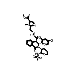 COC(=O)c1cnc(CONC(=O)[C@@H]2c3ccccc3C(=O)N([C@H]3CCCC[C@@H]3NS(C)(=O)=O)[C@H]2c2ccc(Cl)cc2Cl)n1C